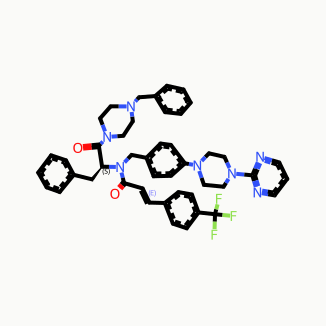 O=C([C@H](Cc1ccccc1)N(Cc1ccc(N2CCN(c3ncccn3)CC2)cc1)C(=O)/C=C/c1ccc(C(F)(F)F)cc1)N1CCN(Cc2ccccc2)CC1